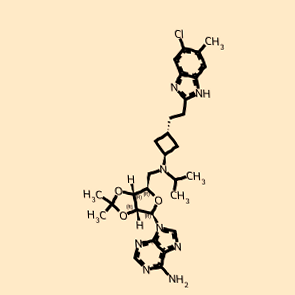 Cc1cc2[nH]c(CC[C@H]3C[C@H](N(C[C@H]4O[C@@H](n5cnc6c(N)ncnc65)[C@@H]5OC(C)(C)O[C@@H]54)C(C)C)C3)nc2cc1Cl